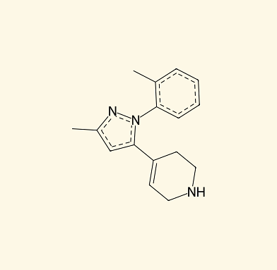 Cc1cc(C2=CCNCC2)n(-c2ccccc2C)n1